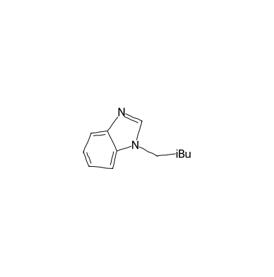 CCC(C)Cn1cnc2ccccc21